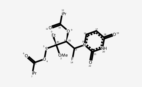 CC[C@@](OC)(SOC(=O)C(C)C)[C@@H](OC(=O)C(C)C)C(F)n1ccc(=O)[nH]c1=O